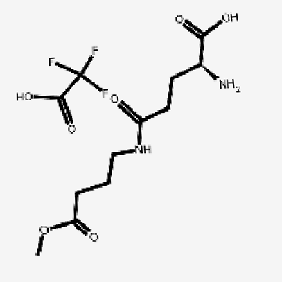 COC(=O)CCCNC(=O)CC[C@H](N)C(=O)O.O=C(O)C(F)(F)F